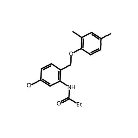 CCC(=O)Nc1cc(Cl)ccc1COc1ccc(C)cc1C